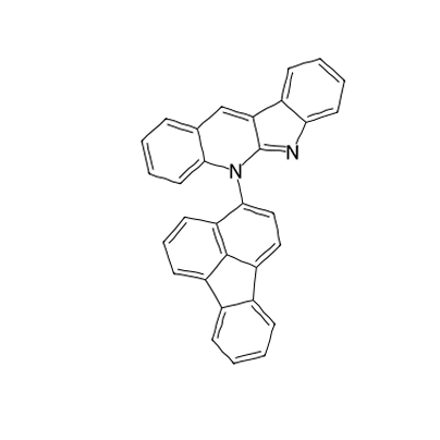 c1ccc2c(c1)-c1cccc3c(-n4c5nc6ccccc6c-5cc5ccccc54)ccc-2c13